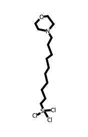 Cl[Si](Cl)(Cl)CCCCCCCCCCN1CCOCC1